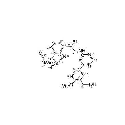 CC[C@H](CNc1cc(-c2cnc(OC)c(CO)c2)ncn1)c1cccc2c(C(=O)NC)c(F)cnc12